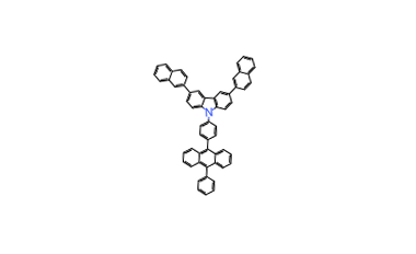 c1ccc(-c2c3ccccc3c(-c3ccc(-n4c5ccc(-c6ccc7ccccc7c6)cc5c5cc(-c6ccc7ccccc7c6)ccc54)cc3)c3ccccc23)cc1